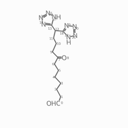 O=CCCCCCCC(=O)CCCC(c1nnn[nH]1)c1nnn[nH]1